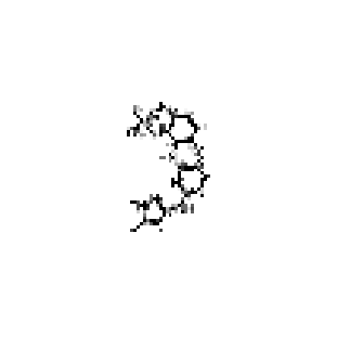 Cc1cc(Nc2ncc(Cl)c(Nc3cccc(F)c3NS(C)(=O)=O)n2)nn1C